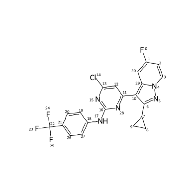 Fc1ccn2nc(C3CC3)c(-c3cc(Cl)nc(Nc4ccc(C(F)(F)F)cc4)n3)c2c1